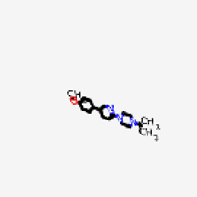 COC1CCC(C2CCC(N3CCN(C(C)C)CC3)=NC2)CC1